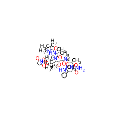 CCC(C)C(C(CC(=O)N1CCC[C@H]1C(OC)C(C)C(=O)NC(Cc1c[nH]c2ccccc12)C(N)=O)OC)N(C)C(=O)C(NC(=O)C(C(C)C)N(C)CCCC(=O)ON1C(=O)CCC1=O)C(C)C